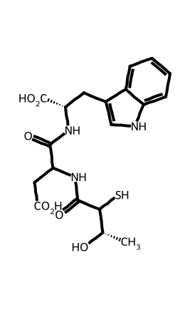 C[C@H](O)C(S)C(=O)NC(CC(=O)O)C(=O)N[C@@H](Cc1c[nH]c2ccccc12)C(=O)O